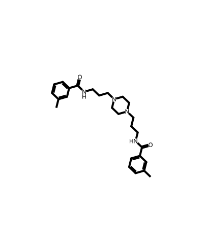 Cc1cccc(C(=O)NCCCN2CCN(CCCNC(=O)c3cccc(C)c3)CC2)c1